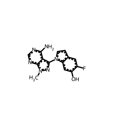 Cn1nc(-n2ccc3cc(F)c(O)cc32)c2c(N)ncnc21